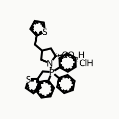 Cl.O=C(O)[C@@H]1CC(Cc2cccs2)CN1P(Cc1cccs1)(c1ccccc1)(c1ccccc1)c1ccccc1